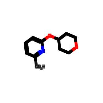 O=C(O)c1cccc(OC2CCOCC2)n1